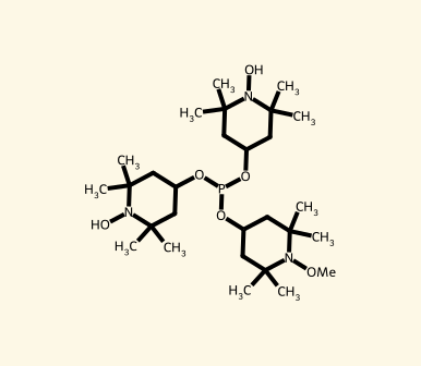 CON1C(C)(C)CC(OP(OC2CC(C)(C)N(O)C(C)(C)C2)OC2CC(C)(C)N(O)C(C)(C)C2)CC1(C)C